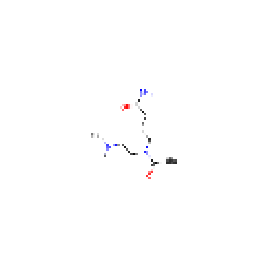 CN(CCN(CCCC(N)=O)C(=O)C(C)(C)C)C(C)(C)C